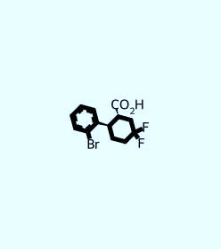 O=C(O)[C@@H]1CC(F)(F)CC[C@H]1c1ccccc1Br